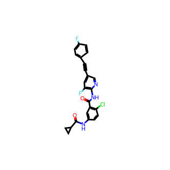 O=C(Nc1ncc(C#Cc2ccc(F)cc2)cc1F)c1cc(NC(=O)C2CC2)ccc1Cl